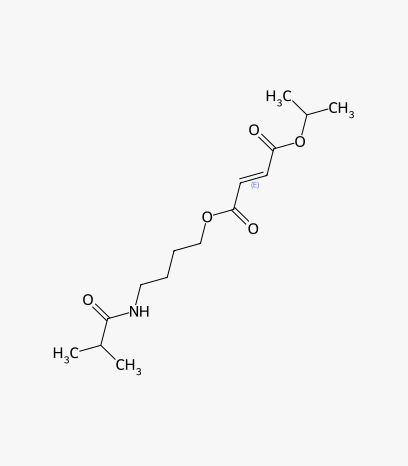 CC(C)OC(=O)/C=C/C(=O)OCCCCNC(=O)C(C)C